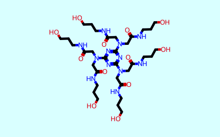 O=C(CN(CC(=O)NCCCO)c1nc(N(CC(=O)NCCCO)CC(=O)NCCCO)nc(N(CC(=O)NCCCO)CC(=O)NCCCO)n1)NCCCO